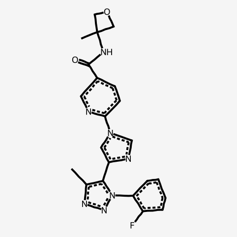 Cc1nnn(-c2ccccc2F)c1-c1cn(-c2ccc(C(=O)NC3(C)COC3)cn2)cn1